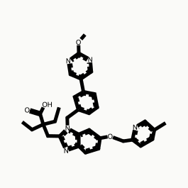 CCC(CC)(Cc1nc2ccc(OCc3ccc(C)cn3)cc2n1Cc1cccc(-c2cnc(OC)nc2)c1)C(=O)O